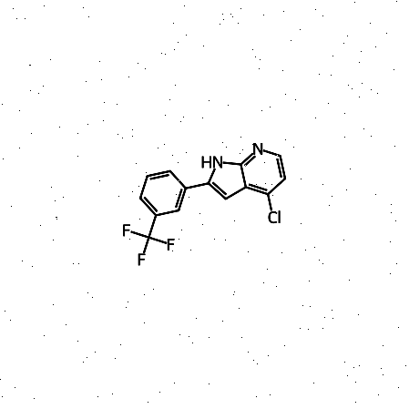 FC(F)(F)c1cccc(-c2cc3c(Cl)ccnc3[nH]2)c1